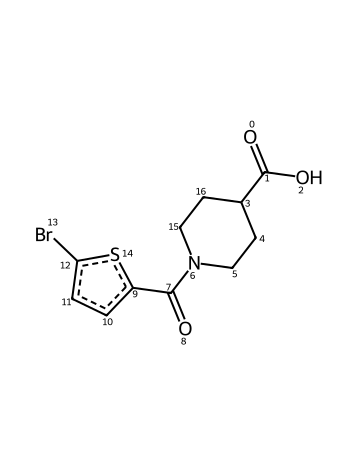 O=C(O)C1CCN(C(=O)c2ccc(Br)s2)CC1